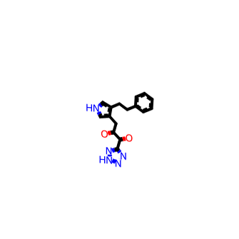 O=C(Cc1c[nH]cc1CCc1ccccc1)C(=O)c1nn[nH]n1